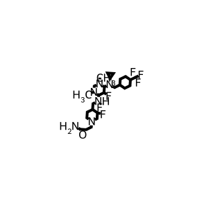 CN1CN(C)C(N(CC2CCC(C(F)(F)F)CC2)C2CC2)C(F)C1NCC1CCN(CC2OC2N)CC1(F)F